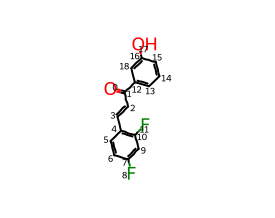 O=C(/C=C/c1ccc(F)cc1F)c1cccc(O)c1